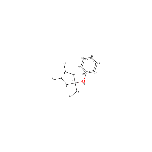 CCCC(CC)(CCC)Oc1ccccc1